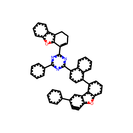 c1c(-c2ccccc2)cc2c(c#1)oc1cccc(-c3ccc(-c4nc(C5=CCCc6c5oc5ccccc65)nc(-c5ccccc5)n4)c4ccccc34)c12